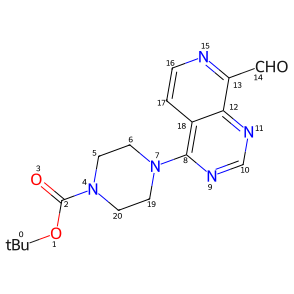 CC(C)(C)OC(=O)N1CCN(c2ncnc3c(C=O)nccc23)CC1